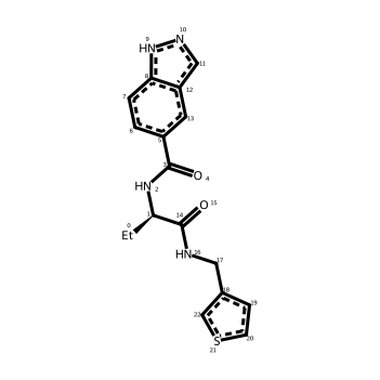 CC[C@@H](NC(=O)c1ccc2[nH]ncc2c1)C(=O)NCc1ccsc1